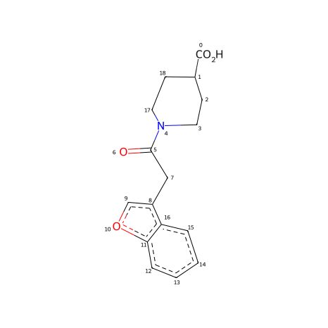 O=C(O)C1CCN(C(=O)Cc2coc3ccccc23)CC1